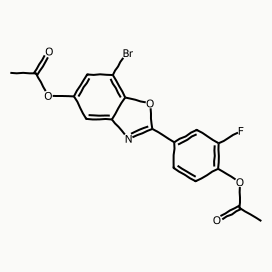 CC(=O)Oc1cc(Br)c2oc(-c3ccc(OC(C)=O)c(F)c3)nc2c1